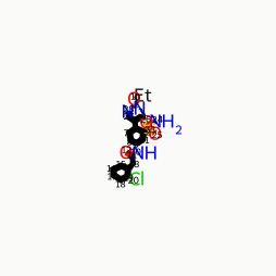 CCOc1ncc(-c2ccc(NC(=O)Cc3ccccc3Cl)cc2S(N)(=O)=O)cn1